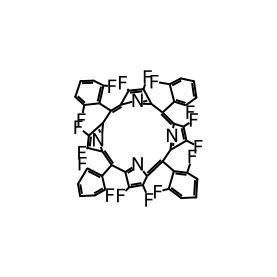 FC1=C(F)C2=C(c3c(F)cccc3F)C3=NC(=C(c4c(F)cccc4F)C4=NC(=C(c5c(F)cccc5F)C5=NC(=C(c6c(F)cccc6F)C1=N2)C(F)=C5F)C(F)=C4F)C(F)=C3F